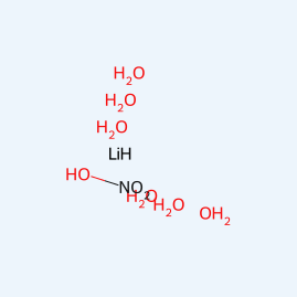 O.O.O.O.O.O.O=[N+]([O-])O.[LiH]